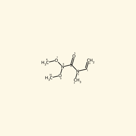 C=CN(C)C(=O)N(OC)OC